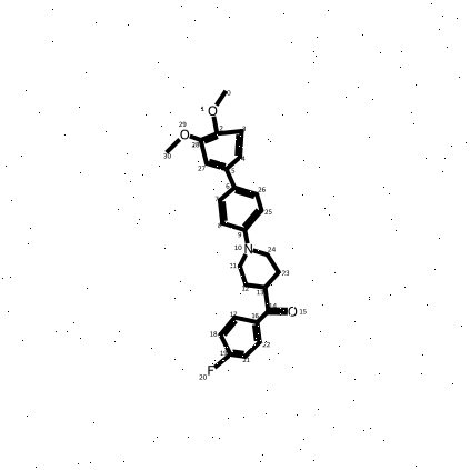 COc1ccc(-c2ccc(N3CCC(C(=O)c4ccc(F)cc4)CC3)cc2)cc1OC